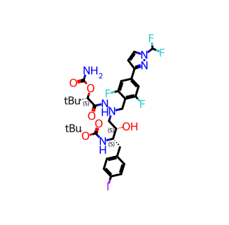 CC(C)(C)OC(=O)N[C@@H](Cc1ccc(I)cc1)[C@@H](O)CN(Cc1c(F)cc(-c2ccn(C(F)F)n2)cc1F)NC(=O)[C@@H](OC(N)=O)C(C)(C)C